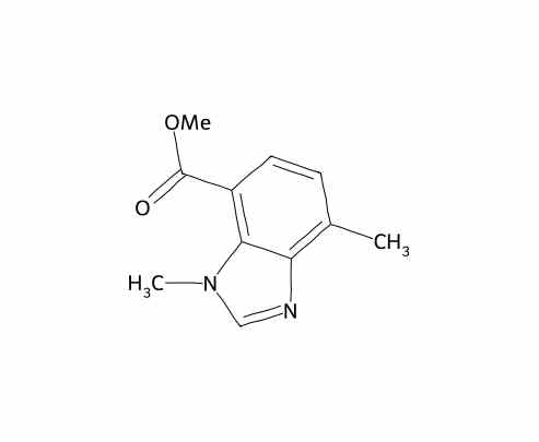 COC(=O)c1ccc(C)c2ncn(C)c12